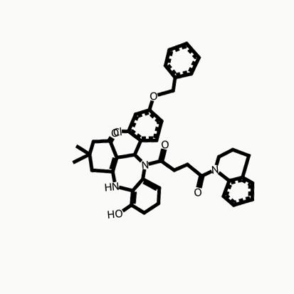 CC1(C)CC(=O)C2=C(C1)NC1=C(O)CCC=C1N(C(=O)CCC(=O)N1CCCc3ccccc31)C2c1ccc(OCc2ccccc2)cc1Cl